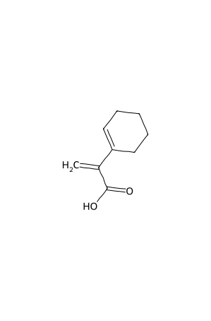 C=C(C(=O)O)C1=CCCCC1